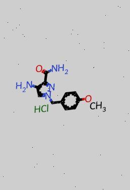 COc1ccc(Cn2cc(N)c(C(N)=O)n2)cc1.Cl